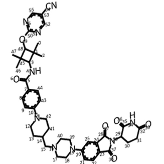 CC1(C)C(NC(=O)c2ccc(N3CCC(CN4CCN(c5ccc6c(c5)C(=O)N(C5CCC(=O)NC5=O)C6=O)CC4)CC3)cc2)C(C)(C)C1Oc1ncc(C#N)cn1